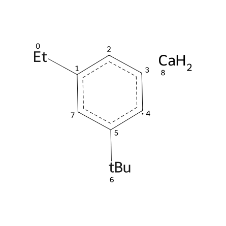 CCc1cc[c]c(C(C)(C)C)c1.[CaH2]